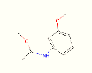 COc1cccc(NC(C)OC)c1